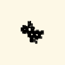 Cn1nnnc1-c1cn(C)c2ccc(F)cc2c1=O